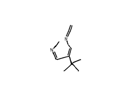 C=N/C=C(\C=N/C)C(C)(C)C